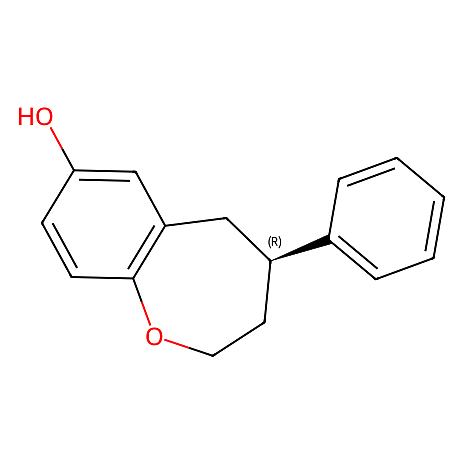 Oc1ccc2c(c1)C[C@@H](c1ccccc1)CCO2